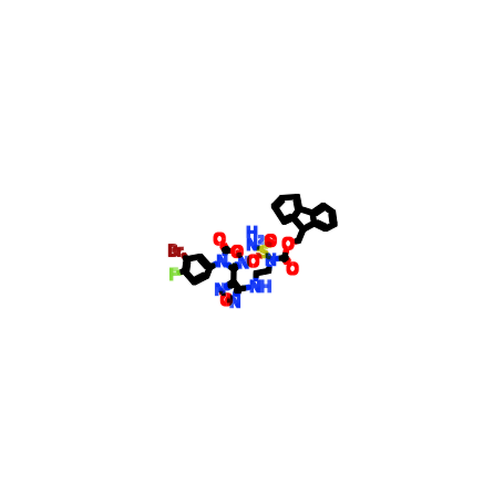 NS(=O)(=O)N(CCNc1nonc1-c1noc(=O)n1-c1ccc(F)c(Br)c1)C(=O)OCC1c2ccccc2-c2ccccc21